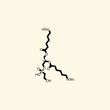 CCCCCCCCCCCCCCCC(=O)OC[C@H](COP(=O)(O)CCO)OC(=O)CCCCCCCCCCCCCCC